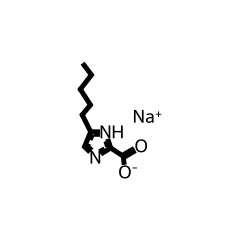 CCCCCc1cnc(C(=O)[O-])[nH]1.[Na+]